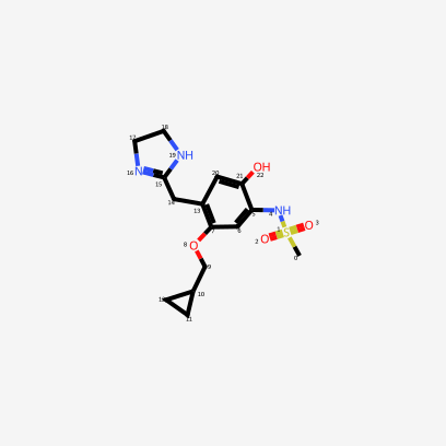 CS(=O)(=O)Nc1cc(OCC2CC2)c(CC2=NCCN2)cc1O